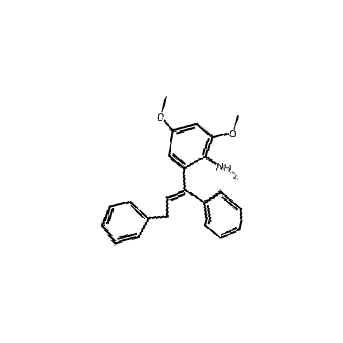 COc1cc(OC)c(N)c(/C(=C/Cc2ccccc2)c2ccccc2)c1